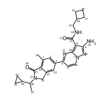 Cc1cc(-c2ccn3nc(N)c(C(=O)NCC4CCC4)c3n2)cc2c1C(=O)N(C(C)C1CC1)C2